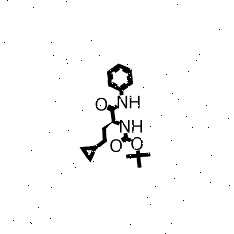 CC(C)(C)OC(=O)N[C@@H](CCC1CC1)C(=O)Nc1ccccc1